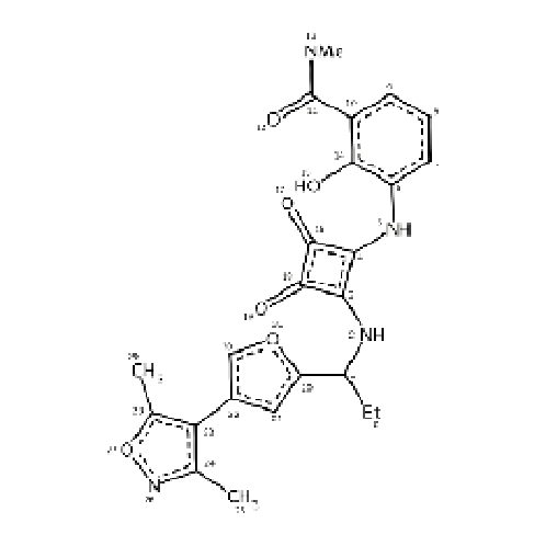 CCC(Nc1c(Nc2cccc(C(=O)NC)c2O)c(=O)c1=O)c1cc(-c2c(C)noc2C)co1